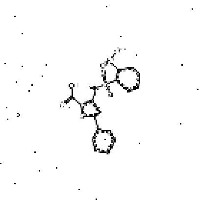 O=C(O)c1sc(-c2ccccc2)cc1NS(=O)(=O)c1ccccc1[N+](=O)[O-]